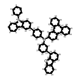 c1ccc(-n2c3ccccc3c3cc(-c4ccc(N(c5cccc(-c6cccc7c6oc6ccccc67)c5)c5ccc6c7ccccc7c7ccccc7c6c5)cc4)ccc32)cc1